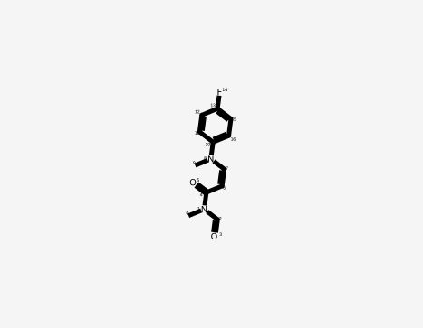 CN(C=O)C(=O)/C=C\N(C)c1ccc(F)cc1